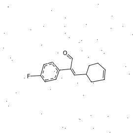 O=CC(=CC1CC=CCC1)c1ccc(F)cc1